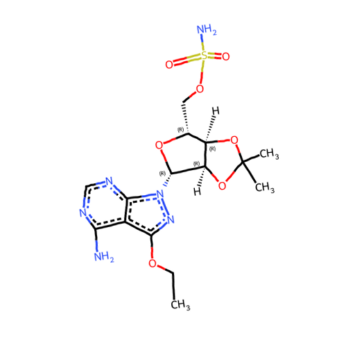 CCOc1nn([C@@H]2O[C@H](COS(N)(=O)=O)[C@H]3OC(C)(C)O[C@H]32)c2ncnc(N)c12